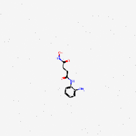 Nc1ccccc1NC(=O)CCC(=O)NO